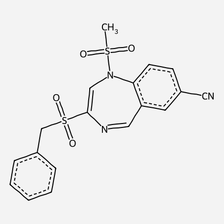 CS(=O)(=O)N1C=C(S(=O)(=O)Cc2ccccc2)N=Cc2cc(C#N)ccc21